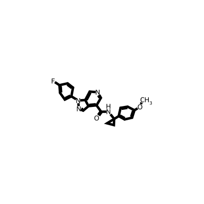 COc1ccc(C2(NC(=O)c3cncc4c3cnn4-c3ccc(F)cc3)CC2)cc1